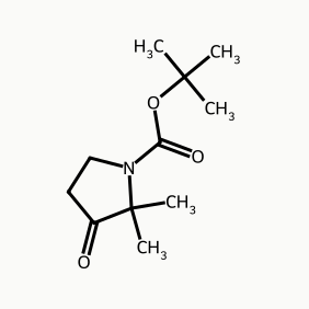 CC(C)(C)OC(=O)N1CCC(=O)C1(C)C